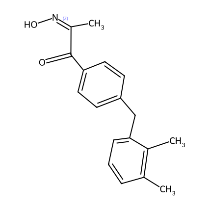 C/C(=N/O)C(=O)c1ccc(Cc2cccc(C)c2C)cc1